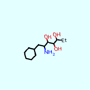 CCC(O)C(O)C(O)C(N)CC1CCCCC1